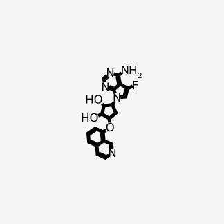 Nc1ncnc2c1c(F)cn2C1CC(Oc2cccc3ccncc23)C(O)C1O